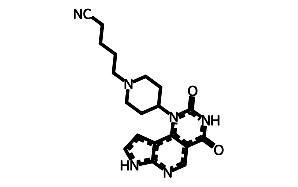 N#CCCCCN1CCC(n2c(=O)[nH]c(=O)c3cnc4[nH]ccc4c32)CC1